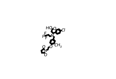 Cc1cc(CN(CCC(F)(F)F)C(CC(=O)O)c2ccc(Cl)cc2)ccc1OCCN1C(=O)CCC1=O